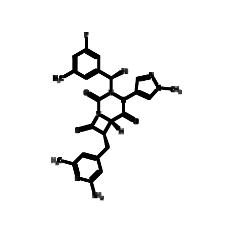 CC[C@H](c1cc(C)cc(F)c1)N1C(=O)N2C(=O)[C@H](Cc3cc(C)nc(N)c3)[C@H]2C(=O)N1c1cnn(C)c1